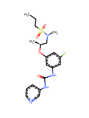 CCCS(=O)(=O)N(C)C[C@H](C)Oc1cc(F)cc(NC(=O)Nc2cccnc2)c1